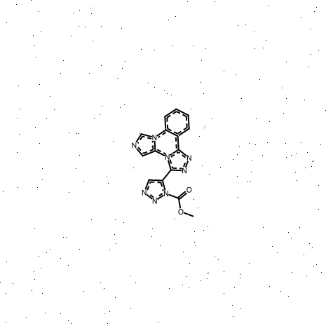 COC(=O)n1nncc1-c1nnc2c3ccccc3n3cncc3n12